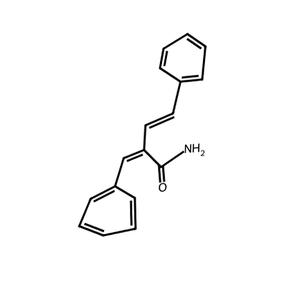 NC(=O)C(=Cc1ccccc1)/C=C/c1ccccc1